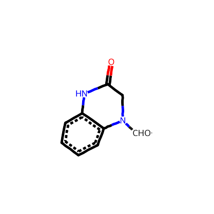 O=[C]N1CC(=O)Nc2ccccc21